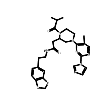 Cc1cnc(-n2ccnc2)nc1N1CCN(C(=O)C(C)C)C(CC(=O)NCCc2ccc3c(c2)OCO3)C1